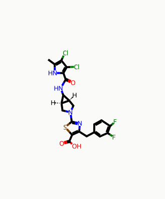 Cc1[nH]c(C(=O)NC2[C@H]3CN(c4nc(Cc5ccc(F)c(F)c5)c(C(=O)O)s4)C[C@@H]23)c(Cl)c1Cl